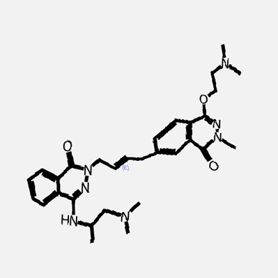 CC(CN(C)C)Nc1nn(C/C=C/Cc2ccc3c(OCCN(C)C)nn(C)c(=O)c3c2)c(=O)c2ccccc12